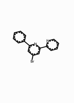 Brc1cc(-c2ccccc2)nc(-c2ccccn2)c1